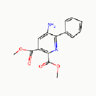 COC(=O)c1cc(N)c(-c2ccccc2)nc1C(=O)OC